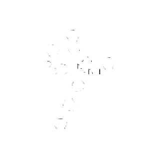 c1ccc(C2=NC(c3cc(-c4cccc5oc6ccccc6c45)c4ccccc4c3)=NC(c3ccc(-c4ccc(-c5ccccc5)cc4)cc3)N2)cc1